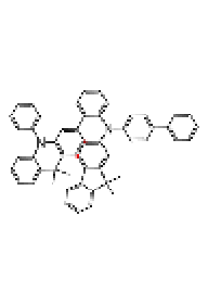 CC1(C)c2ccccc2-c2ccc(N(c3ccc(-c4ccccc4)cc3)c3ccccc3-c3ccc4c(c3)N(c3ccccc3)c3ccccc3C4(C)C)cc21